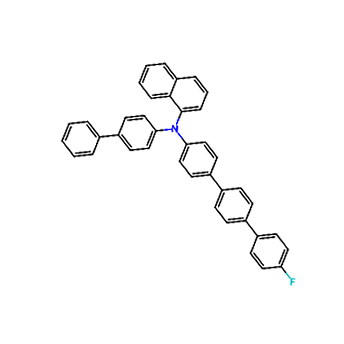 Fc1ccc(-c2ccc(-c3ccc(N(c4ccc(-c5ccccc5)cc4)c4cccc5ccccc45)cc3)cc2)cc1